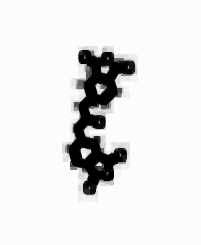 O=C(Cc1ccc2c(c1)C(=O)OC2=O)Cc1ccc2c(c1)C(=O)OC2=O